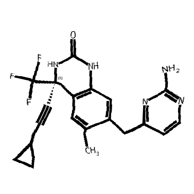 Cc1cc2c(cc1Cc1ccnc(N)n1)NC(=O)N[C@]2(C#CC1CC1)C(F)(F)F